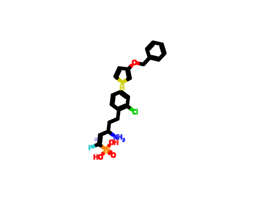 NC(/C=C(/F)P(=O)(O)O)CCc1ccc([SH]2C=CC(OCc3ccccc3)=C2)cc1Cl